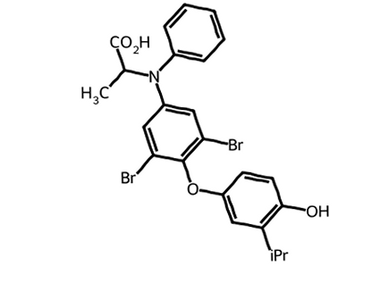 CC(C)c1cc(Oc2c(Br)cc(N(c3ccccc3)C(C)C(=O)O)cc2Br)ccc1O